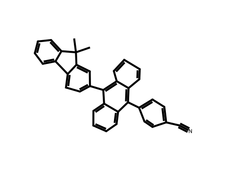 CC1(C)c2ccccc2-c2ccc(-c3c4ccccc4c(-c4ccc(C#N)cc4)c4ccccc34)cc21